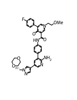 COCCn1cc(C(=O)Nc2ccc(-c3cc(-c4cnn(C[C@H]5COCCO5)c4)cnc3N)cc2)c(=O)c(-c2ccc(F)cc2)c1